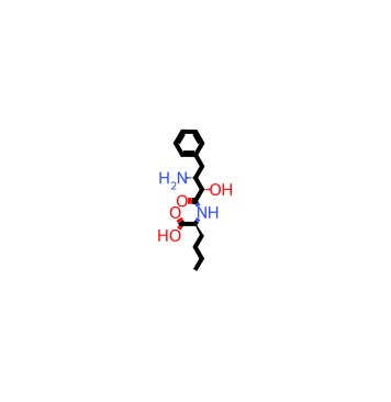 CCCC[C@H](NC(=O)[C@@H](O)[C@H](N)Cc1ccccc1)C(=O)O